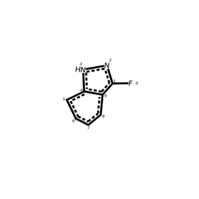 Fc1n[nH]c2c[c]ccc12